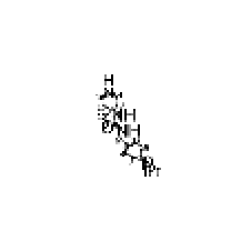 CC(C)Oc1ccc(CNC(=O)NC2(C)CCNCC2)cc1